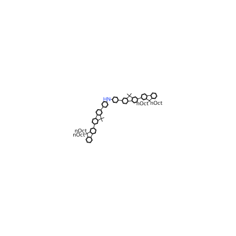 CCCCCCCCC1(CCCCCCCC)c2ccccc2-c2ccc(-c3ccc4c(c3)C(C)(C)c3cc(-c5ccc(Nc6ccc(-c7ccc8c(c7)C(C)(C)c7cc(-c9ccc%10c(c9)C(CCCCCCCC)(CCCCCCCC)c9ccccc9-%10)ccc7-8)cc6)cc5)ccc3-4)cc21